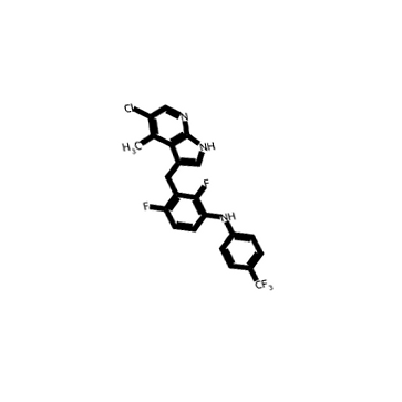 Cc1c(Cl)cnc2[nH]cc(Cc3c(F)ccc(Nc4ccc(C(F)(F)F)cc4)c3F)c12